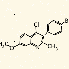 COc1ccc2c(Cl)c(-c3ccc(Br)cc3)c(C)nc2c1